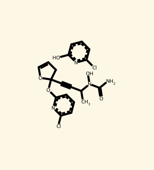 CC(C#CC1(Oc2cccc(Cl)n2)CC=CO1)N(O)C(N)=O.Oc1cccc(Cl)n1